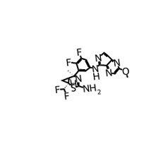 COc1cnc2c(Nc3cc(F)c(F)c([C@@]4(C)N=C(N)S[C@@]5(C(F)F)C[C@@H]45)c3)nccc2n1